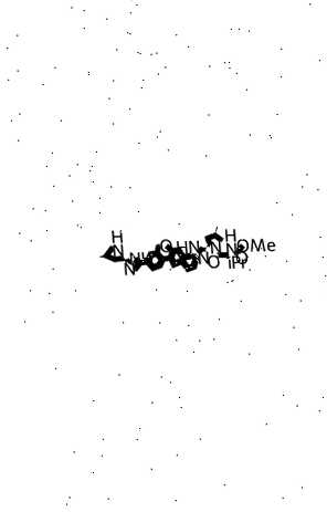 COC(=O)N[C@H](C(=O)N1C[C@@H](C)C[C@H]1c1nc2ccc3cc4c(cc3c2[nH]1)OCc1cc(-c2cnc([C@@H]3C[C@H](C)CN3)[nH]2)ccc1-4)C(C)C